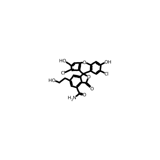 NC(=O)c1cc(CCO)cc2c1C(=O)OC21c2cc(Cl)c(O)cc2Oc2cc(O)c(Cl)cc21